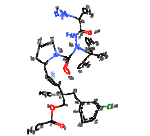 CC(=O)OC[C@@](C)(/C=C/C1CCCN1C(=O)N(NC(=O)C(C)N)C(C)(C)C)Cc1cccc(Cl)c1